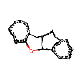 c1ccc2c(c1)CC1c3ccccc3OC21